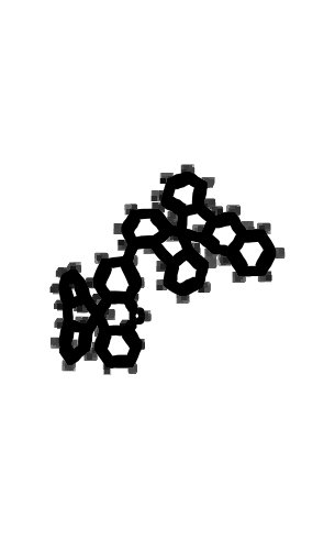 c1ccc2c(c1)Oc1cc(-c3cccc4c3-c3ccccc3C43c4ccccc4-c4cc5ccccc5cc43)ccc1C21c2ccccc2-c2ccccc21